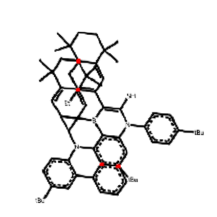 CCC1=C(C2=C(S)N(c3ccc(C(C)(C)C)cc3)c3cc(C(C)(C)C)cc4c3B2C23C=C5C(=CC2C3N4c2ccc(C(C)(C)C)cc2-c2ccccc2)C(C)(C)CCC5(C)C)C=C2C(C1)C(C)(C)CCC2(C)C